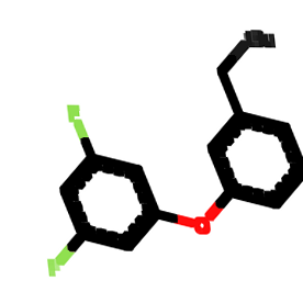 CC(C)(C)Cc1cccc(Oc2cc(F)cc(F)c2)c1